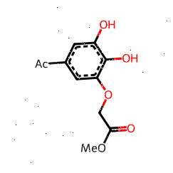 COC(=O)COc1cc(C(C)=O)cc(O)c1O